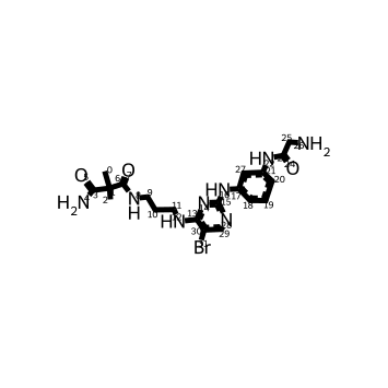 CC(C)(C(N)=O)C(=O)NCCCNc1nc(Nc2cccc(NC(=O)CN)c2)ncc1Br